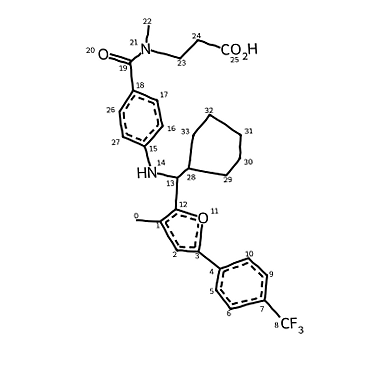 Cc1cc(-c2ccc(C(F)(F)F)cc2)oc1C(Nc1ccc(C(=O)N(C)CCC(=O)O)cc1)C1CCCCC1